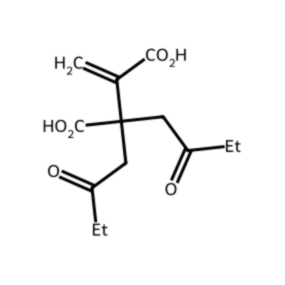 C=C(C(=O)O)C(CC(=O)CC)(CC(=O)CC)C(=O)O